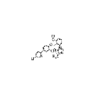 CCOc1cccc(-n2nnn(C)c2=O)c1COc1ccc(-c2ccc(Cl)cn2)cc1C